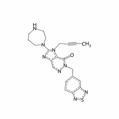 CC#CCn1c(N2CCCNCC2)nc2cnn(Cc3ccc4nsnc4c3)c(=O)c21